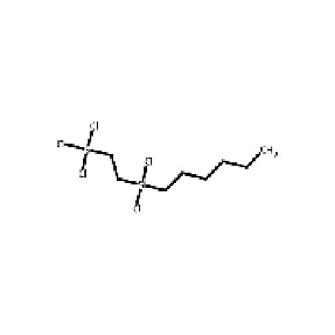 CCCCCC[Si](Cl)(Cl)CCS(Cl)(Cl)Cl